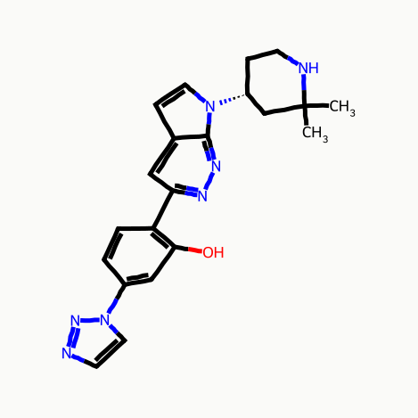 CC1(C)C[C@H](n2ccc3cc(-c4ccc(-n5ccnn5)cc4O)nnc32)CCN1